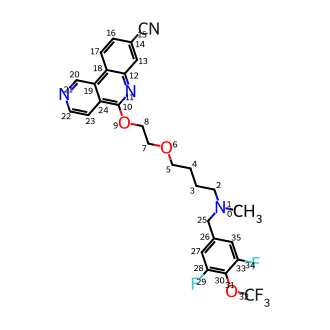 CN(CCCCOCCOc1nc2cc(C#N)ccc2c2cnccc12)Cc1cc(F)c(OC(F)(F)F)c(F)c1